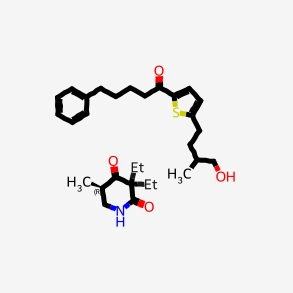 CC(CO)CCc1ccc(C(=O)CCCCc2ccccc2)s1.CCC1(CC)C(=O)NC[C@@H](C)C1=O